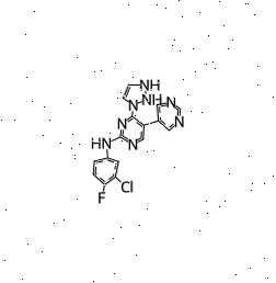 Fc1ccc(Nc2ncc(-c3cncnc3)c(N3C=CNN3)n2)cc1Cl